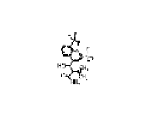 CN(C)C(C(N)=O)C(O)c1cc(C(F)(F)F)nc2c(C(F)(F)F)cccc12